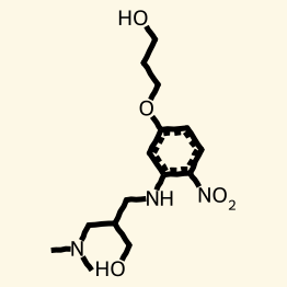 CN(C)CC(CO)CNc1cc(OCCCO)ccc1[N+](=O)[O-]